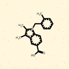 Cc1ccccc1Cn1c(C)c(C)c2cc(C(=O)O)ccc21